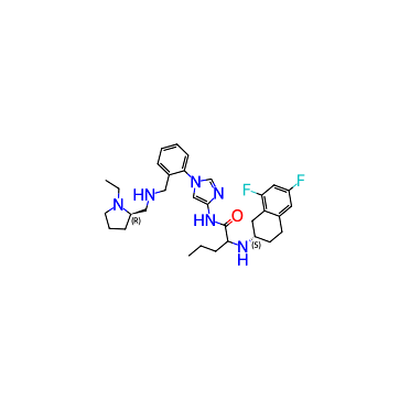 CCCC(N[C@H]1CCc2cc(F)cc(F)c2C1)C(=O)Nc1cn(-c2ccccc2CNC[C@H]2CCCN2CC)cn1